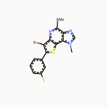 CNc1nc2c(Br)c(-c3cccc(F)c3)sc2c2c1ncn2C